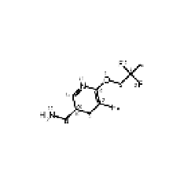 CC(F)(F)COC1=C(F)C[C@@H](CN)C=N1